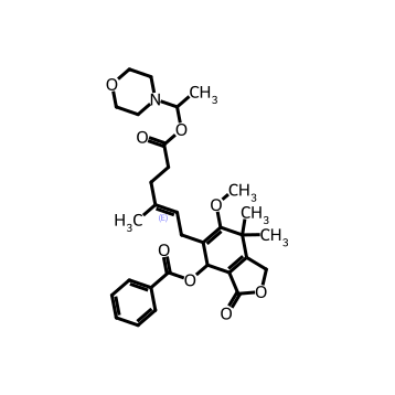 COC1=C(C/C=C(\C)CCC(=O)OC(C)N2CCOCC2)C(OC(=O)c2ccccc2)C2=C(COC2=O)C1(C)C